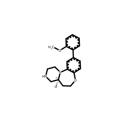 COc1ccccc1-c1ccc2c(c1)N1CCNC[C@@H]1CCO2